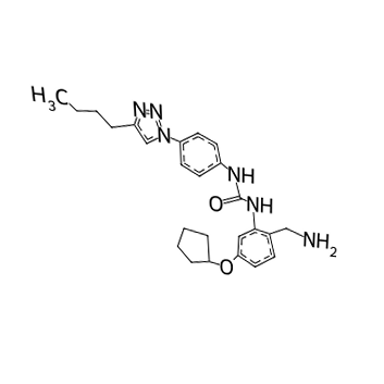 CCCCc1cn(-c2ccc(NC(=O)Nc3cc(OC4CCCC4)ccc3CN)cc2)nn1